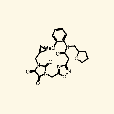 COc1ccccc1N(CC1CCCO1)C(=O)Cc1noc(CN2C(=O)C(=O)N(CC3CC3)C2=O)n1